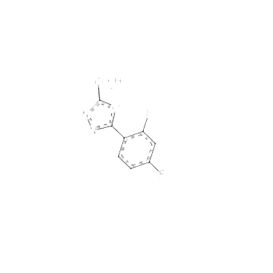 O=C(O)c1nnc(-c2ccc(F)cc2F)o1